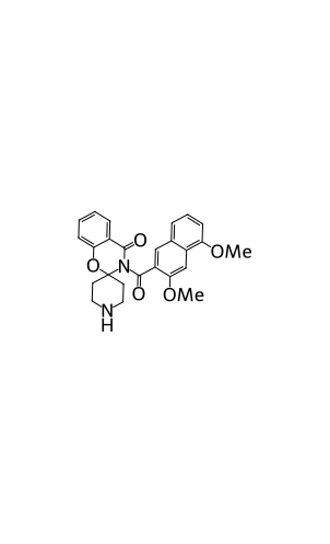 COc1cc2c(OC)cccc2cc1C(=O)N1C(=O)c2ccccc2OC12CCNCC2